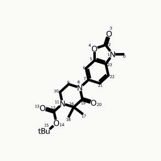 Cn1c(=O)oc2cc(N3CCN(C(=O)OC(C)(C)C)C(C)(C)C3=O)ccc21